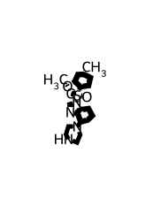 COc1cc(C)ccc1S(=O)(=O)n1cnc2c(N3CCNCC3)cccc21